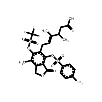 CC(=CCc1c(OS(=O)(=O)C(F)(F)F)c(C)c2c(c1OS(=O)(=O)c1ccc(C)cc1)C(=O)OC2)C(C)CC(=O)O